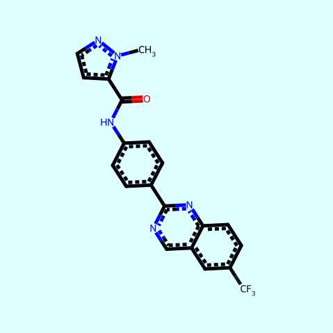 Cn1nccc1C(=O)Nc1ccc(-c2ncc3cc(C(F)(F)F)ccc3n2)cc1